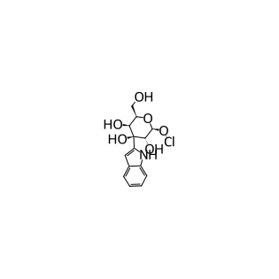 OC[C@H]1O[C@@H](OCl)[C@H](O)[C@](O)(c2cc3ccccc3[nH]2)[C@H]1O